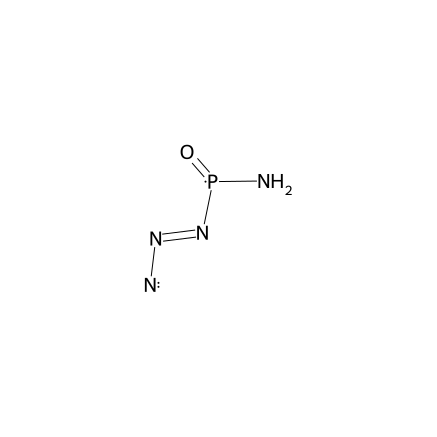 [N]N=N[P](N)=O